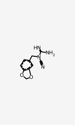 N#CN(Cc1ccc2c(c1)OCO2)C(=N)N